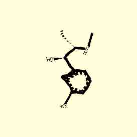 CN[C@@H](C)[C@H](O)c1cccc(O)c1